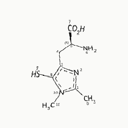 Cc1nc(C[C@H](N)C(=O)O)c(S)n1C